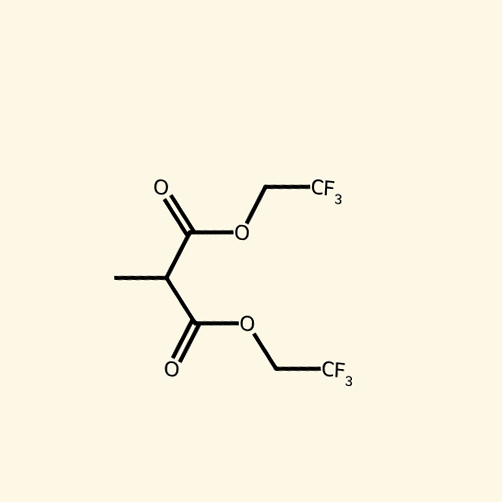 CC(C(=O)OCC(F)(F)F)C(=O)OCC(F)(F)F